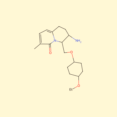 CCOC1CCC(OCC2C(N)CCc3ccc(C)c(=O)n32)CC1